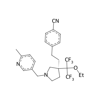 CCOC(C(F)(F)F)(C(F)(F)F)[C@@]1(CCc2ccc(C#N)cc2)CCN(Cc2ccc(C)nc2)C1